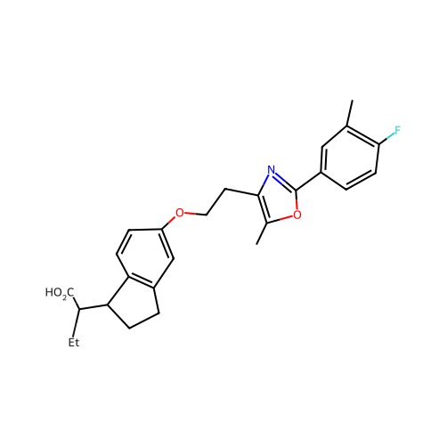 CCC(C(=O)O)C1CCc2cc(OCCc3nc(-c4ccc(F)c(C)c4)oc3C)ccc21